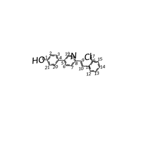 Oc1ccc(-c2ccc(C=Cc3ccccc3Cl)nc2)cc1